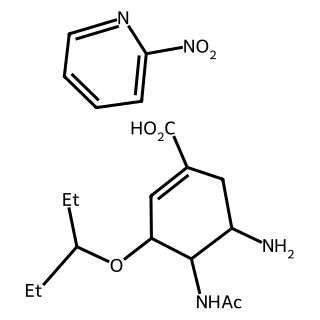 CCC(CC)OC1C=C(C(=O)O)CC(N)C1NC(C)=O.O=[N+]([O-])c1ccccn1